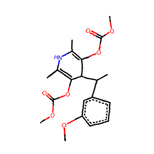 COC(=O)OC1=C(C)NC(C)=C(OC(=O)OC)C1C(C)c1cccc(OC)c1